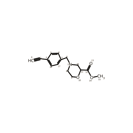 C#Cc1ccc(CN2CCOC(C(=O)OC)C2)cc1